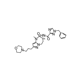 CN1C(=O)[C@H](NC(=O)c2ncn(Cc3ccccc3)n2)CCn2nc(CCCN3CCOCC3)cc21